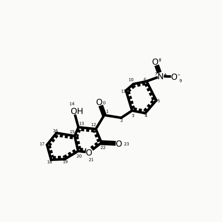 O=C(Cc1ccc([N+](=O)[O-])cc1)c1c(O)c2ccccc2oc1=O